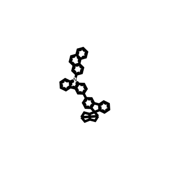 c1ccc2c(c1)-c1cc(-c3ccc4c(c3)c3ccccc3n4-c3ccc4c(ccc5ccccc54)c3)ccc1C21C2CC3CC2CC31